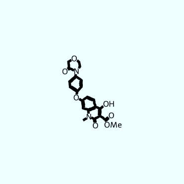 COC(=O)c1c(O)c2ccc(Oc3ccc(N4CCOCC4=O)cc3)cc2n(C)c1=O